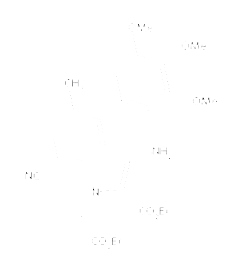 CCOC(=O)Cn1c(C(=O)OCC)c(N)c2c(-c3cc(OC)c(OC)c(OC)c3)c(C)cc(C#N)c21